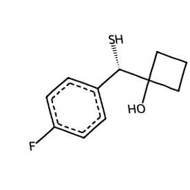 OC1([C@@H](S)c2ccc(F)cc2)CCC1